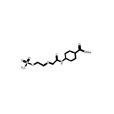 COC(=O)C1CCC(NC(=O)COCCOS(C)(=O)=O)CC1